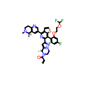 C=CC(=O)N1CCn2nc(-c3nc(-c4cnc5c(c4)[C@@H](C)N(C)CC5)c4ccsc4c3-c3c(F)cc(F)cc3OCCOC(F)F)cc2[C@H]1C